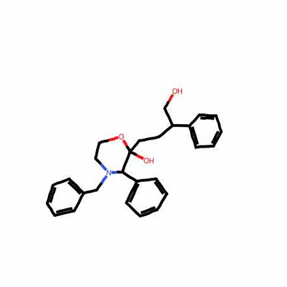 OCC(CCC1(O)OCCN(Cc2ccccc2)C1c1ccccc1)c1ccccc1